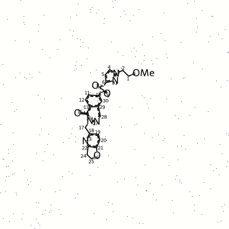 COCCn1ccc(S(=O)(=O)c2ccc3c(=O)n(Cc4ccc5c(n4)CCO5)ncc3c2)n1